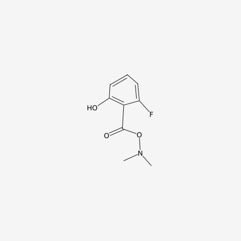 CN(C)OC(=O)c1c(O)cccc1F